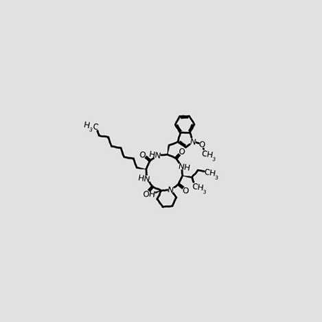 CCCCCCCC[C@@H]1NC(=O)[C@H]2CCCCN2C(=O)[C@H](C(C)CC)NC(=O)[C@H](Cc2cn(OC)c3ccccc23)NC1=O